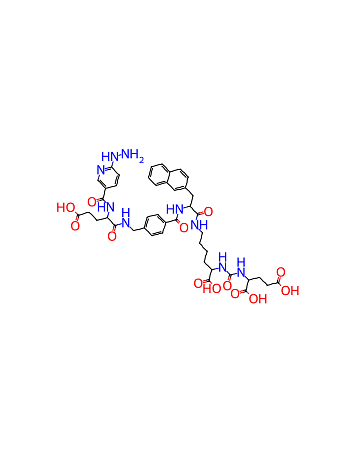 NNc1ccc(C(=O)NC(CCC(=O)O)C(=O)NCc2ccc(C(=O)NC(Cc3ccc4ccccc4c3)C(=O)NCCCCC(NC(=O)NC(CCC(=O)O)C(=O)O)C(=O)O)cc2)cn1